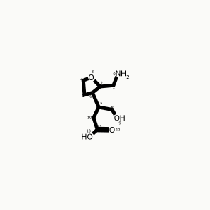 NCC1OCCC1C(CO)CC(=O)O